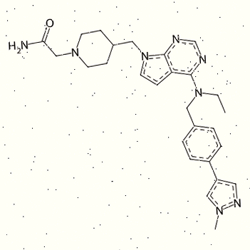 CCN(Cc1ccc(-c2cnn(C)c2)cc1)c1ncnc2c1ccn2CC1CCN(CC(N)=O)CC1